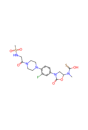 CN(C(O)=S)C1CN(c2ccc(N3CCN(C(=O)CNS(C)(=O)=O)CC3)c(F)c2)C(=O)O1